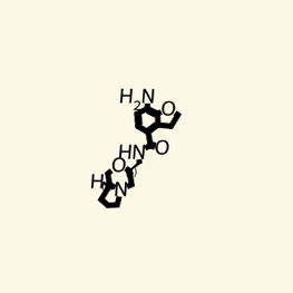 Nc1ccc(C(=O)NC[C@H]2CN3CCC[C@@H]3CO2)c2c1OCC2